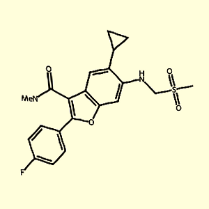 CNC(=O)c1c(-c2ccc(F)cc2)oc2cc(NCS(C)(=O)=O)c(C3CC3)cc12